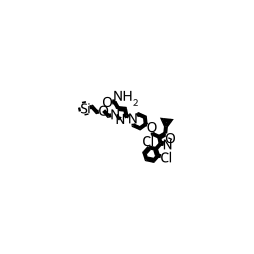 C[Si](C)(C)CCOCn1nc(N2CCC(OCc3c(-c4c(Cl)cccc4Cl)noc3C3CC3)CC2)cc1C(N)=O